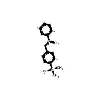 C[N+](C)(C)c1ccc(C[PH](=O)c2ccccc2)cc1